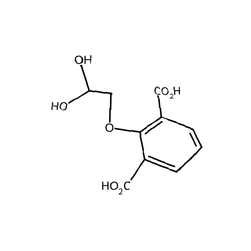 O=C(O)c1cccc(C(=O)O)c1OCC(O)O